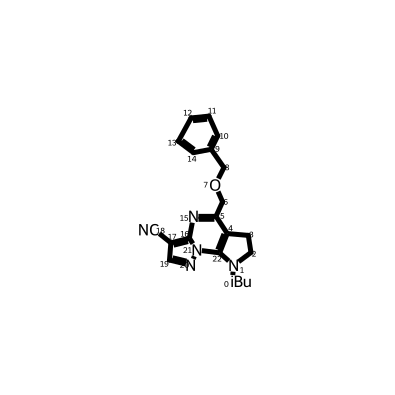 CCC(C)N1CCc2c(COCc3ccccc3)nc3c(C#N)cnn3c21